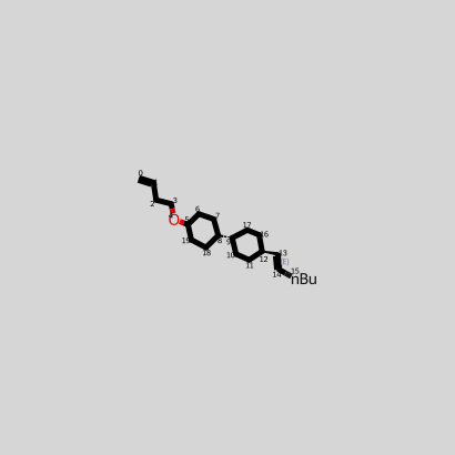 C=CCCOC1CCC([C@H]2CC[C@H](/C=C/CCCC)CC2)CC1